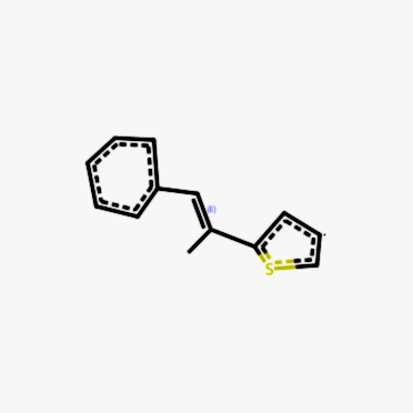 C/C(=C\c1ccccc1)c1c[c]cs1